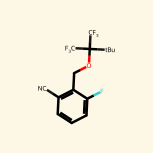 CC(C)(C)C(OCc1c(F)cccc1C#N)(C(F)(F)F)C(F)(F)F